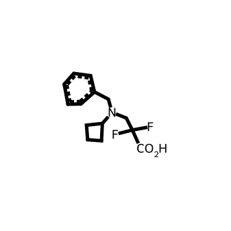 O=C(O)C(F)(F)CN(Cc1ccccc1)C1CCC1